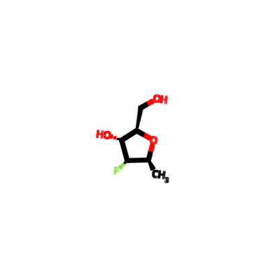 C[C@@H]1O[C@H](CO)[C@@H](O)[C@H]1F